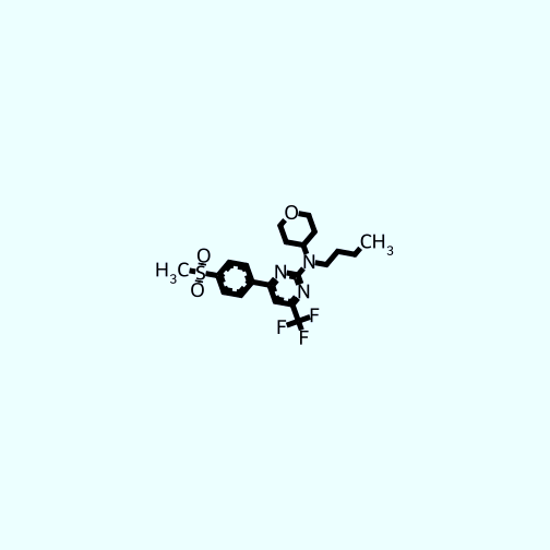 CCCCN(c1nc(-c2ccc(S(C)(=O)=O)cc2)cc(C(F)(F)F)n1)C1CCOCC1